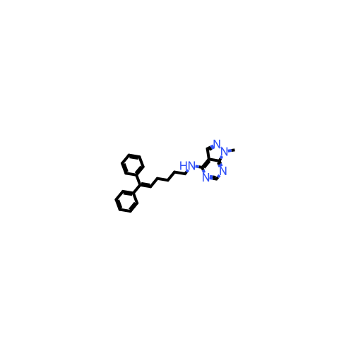 Cn1ncc2c(NCCCCC=C(c3ccccc3)c3ccccc3)ncnc21